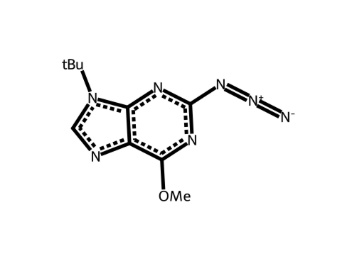 COc1nc(N=[N+]=[N-])nc2c1ncn2C(C)(C)C